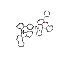 c1ccc(-c2ccc(N(c3ccc(-c4ccccc4-n4c5ccccc5c5c6ccccc6ccc54)cc3)c3ccccc3-c3cccc4ccccc34)cc2)cc1